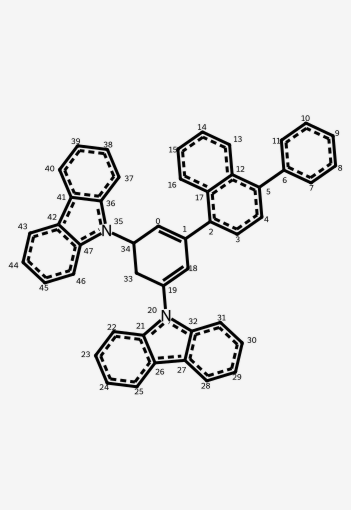 C1=C(c2ccc(-c3ccccc3)c3ccccc23)C=C(n2c3ccccc3c3ccccc32)CC1n1c2ccccc2c2ccccc21